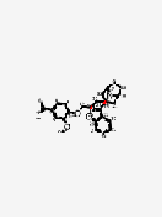 COc1cc(C(C)=O)ccc1OCCCCN1C2CCC1CC(c1noc3ccccc13)C2